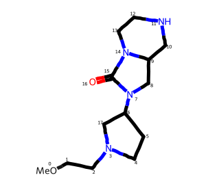 COCCN1CCC(N2CC3CNCCN3C2=O)C1